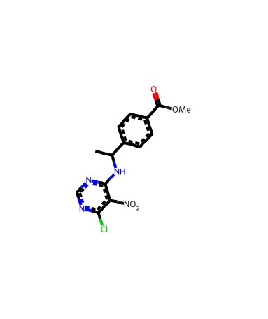 COC(=O)c1ccc(C(C)Nc2ncnc(Cl)c2[N+](=O)[O-])cc1